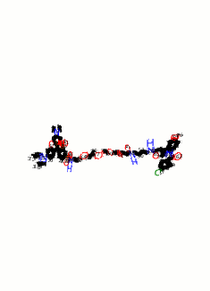 CCN(CC)c1ccc2c(c1)OC1=C[C@@H](N(CC)CC)C=CC1=C2c1ccc(S(=O)(=O)NCCOCCOCCOCCOCCC(=O)NCCCCNC(=O)Cc2c(C)n(C(=O)c3ccc(Cl)cc3)c3ccc(OC)cc23)cc1[SH](=O)=O